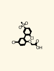 CS(=O)(=O)c1ccc(Cl)c(-c2cc(Cl)ccc2OCC(=O)O)c1